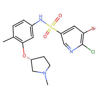 Cc1ccc(NS(=O)(=O)c2cnc(Cl)c(Br)c2)cc1O[C@@H]1CCN(C)C1